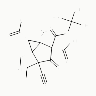 C=C1C(C#N)(CC)[C@@]2(CC)[C@H](C(=O)O)[C@@]2(N)[C@@]1(C(=O)O)C(=O)OC(C)(C)C